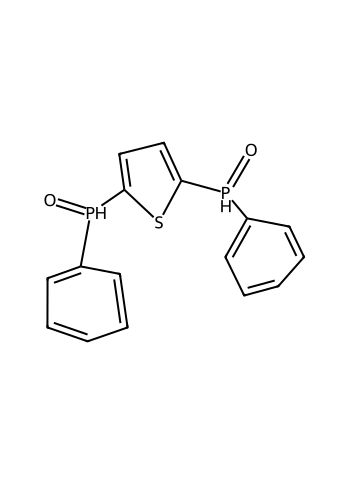 O=[PH](c1ccccc1)c1ccc([PH](=O)c2ccccc2)s1